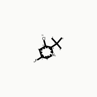 CC(C)(C)c1ncc(F)cc1Cl